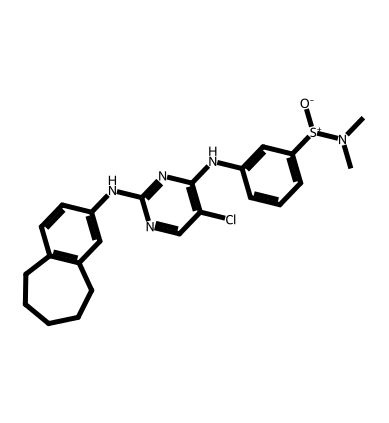 CN(C)[S+]([O-])c1cccc(Nc2nc(Nc3ccc4c(c3)CCCCC4)ncc2Cl)c1